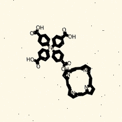 C1=Cc2cc3ccc(cc4nc(cc5ccc(cc1n2)[nH]5)C=C4)[nH]3.O=C(O)c1cc[c]([Fe]([c]2ccc(C(=O)O)cc2)([c]2ccc(C(=O)O)cc2)[c]2ccc(C(=O)O)cc2)cc1